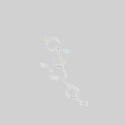 CC(C)(C)OC=O.CSc1ccc(OCc2csc(C3(O)CCNCC3)n2)cc1